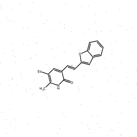 CCc1cc(/C=C/c2cc3ccccc3o2)c(=O)[nH]c1C